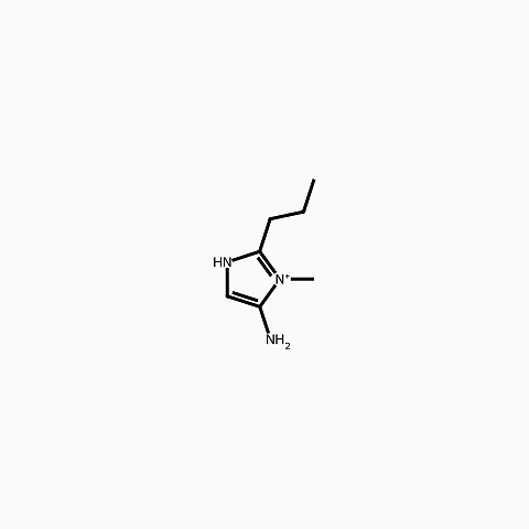 CCCc1[nH]cc(N)[n+]1C